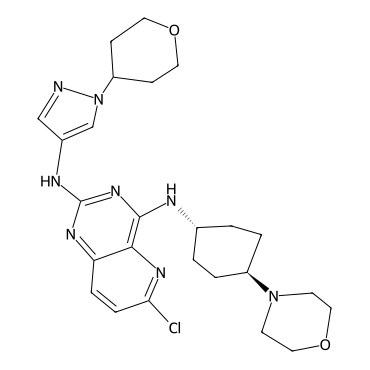 Clc1ccc2nc(Nc3cnn(C4CCOCC4)c3)nc(N[C@H]3CC[C@H](N4CCOCC4)CC3)c2n1